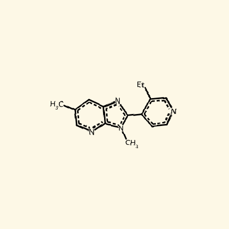 CCc1cnccc1-c1nc2cc(C)cnc2n1C